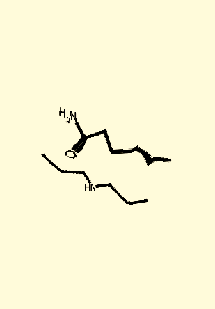 CCCCCC(N)=O.CCCNCCC